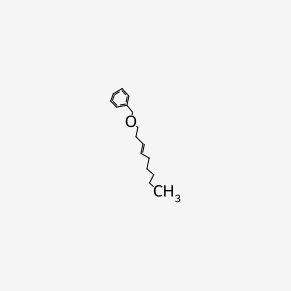 CCCCC/C=C/CCOCc1ccccc1